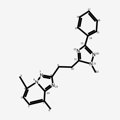 Cc1ccc(C)n2nc(CCc3nc(-c4ccccc4)nn3C)nc12